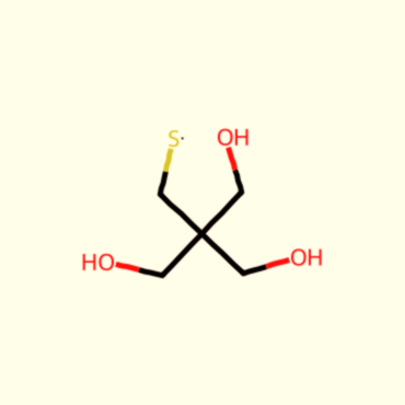 OCC(CO)(CO)C[S]